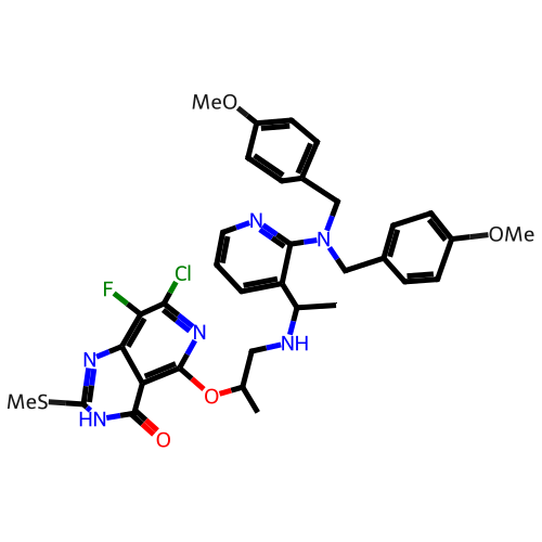 COc1ccc(CN(Cc2ccc(OC)cc2)c2ncccc2C(C)NCC(C)Oc2nc(Cl)c(F)c3nc(SC)[nH]c(=O)c23)cc1